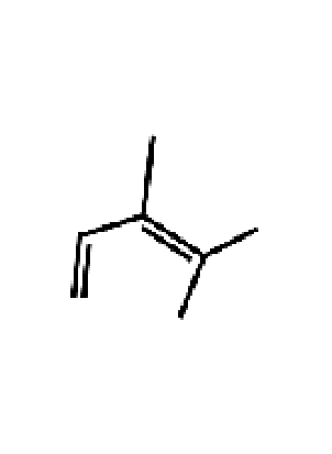 C=CC(C)=C(C)C